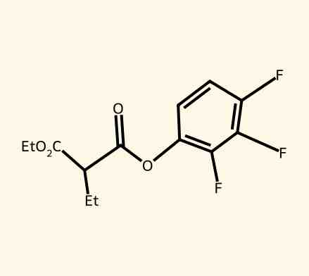 CCOC(=O)C(CC)C(=O)Oc1ccc(F)c(F)c1F